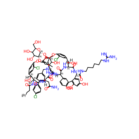 CC(C)CCC(=O)N[C@H]1C(=O)N[C@@H](CC(N)=O)C(=O)N[C@H]2C(=O)N[C@H]3C(=O)N[C@H](C(=O)N[C@H](C(=O)NCCCCCCNC(=N)N)c4cc(O)cc(O)c4-c4cc3ccc4O)[C@H](O)c3ccc(c(Cl)c3)Oc3cc2cc(c3O[C@H]2OC(CO)C(O)C(O)[C@H]2O[C@H]2CC(C)(NCc3ccc(-c4ccc(Cl)cc4)cc3)C(O)[C@H](C)O2)Oc2ccc(cc2Cl)[C@H]1O